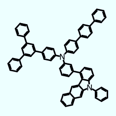 c1ccc(-c2ccc(-c3ccc(N(c4ccc(-c5cc(-c6ccccc6)cc(-c6ccccc6)c5)cc4)c4cccc(-c5cccc6c5c5cc7ccccc7cc5n6-c5ccccc5)c4)cc3)cc2)cc1